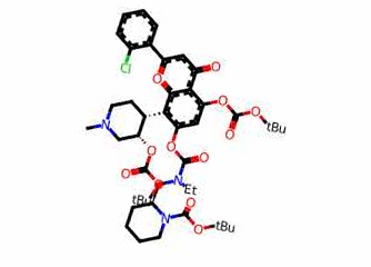 CCN(C[C@@H]1CCCCN1C(=O)OC(C)(C)C)C(=O)Oc1cc(OC(=O)OC(C)(C)C)c2c(=O)cc(-c3ccccc3Cl)oc2c1[C@H]1CCN(C)C[C@H]1OC(=O)OC(C)(C)C